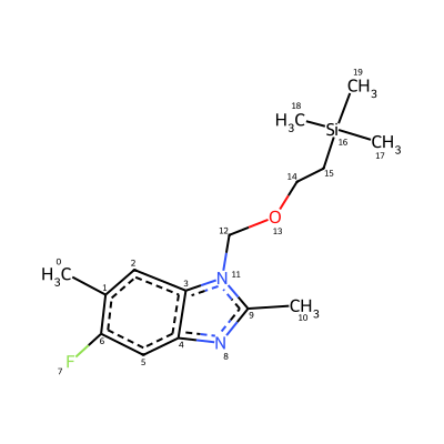 Cc1cc2c(cc1F)nc(C)n2COCC[Si](C)(C)C